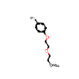 COCCOCCOc1ccc(C(C)C)cc1